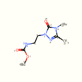 CC(C)(C)OC(=O)NCCn1nc(C(F)(F)F)n(C(C)(C)C)c1=O